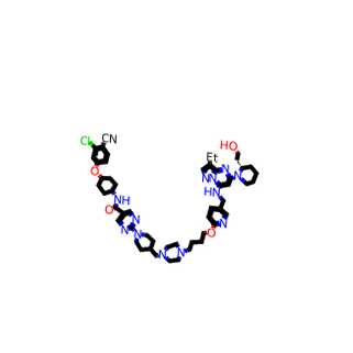 CCc1cnn2c(NCc3ccc(OCCCCN4CCN(CC5CCN(c6ncc(C(=O)NC7CCC(Oc8ccc(C#N)c(Cl)c8)CC7)cn6)CC5)CC4)nc3)cc(N3CCCC[C@H]3CCO)nc12